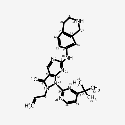 C=CCn1c(=O)c2cnc(Nc3ccc4c(c3)CNCC4)nc2n1-c1nccc(C(C)(C)C)n1